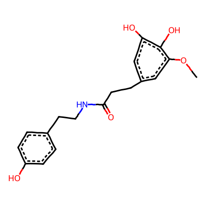 COc1cc(CCC(=O)NCCc2ccc(O)cc2)cc(O)c1O